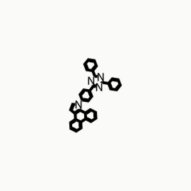 c1ccc(-c2nc(-c3ccccc3)nc(-c3ccc(-n4ccc5c6ccccc6c6ccccc6c54)cc3)n2)cc1